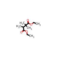 CCOC(=O)C(C)C(C)(C)C(=O)OCC